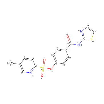 Cc1ccc(S(=O)(=O)Oc2ccc(C(=O)Nc3nccs3)cc2)nc1